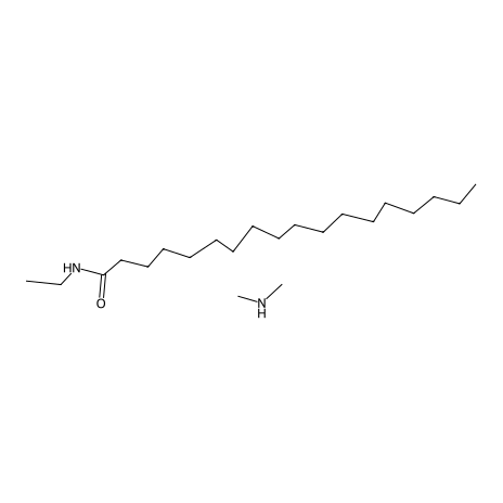 CCCCCCCCCCCCCCCCCC(=O)NCC.CNC